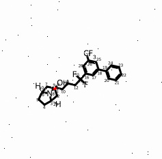 OC1C[C@H]2CC[C@@H](C1)N2CCCCC(F)(F)c1cc(-c2ccccc2)cc(C(F)(F)F)c1